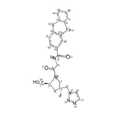 O=C(NCC(=O)N1C[C@@](F)(Cn2ccnn2)C[C@H]1C(=O)O)c1ccc2c(c1)Oc1ccccc1S2